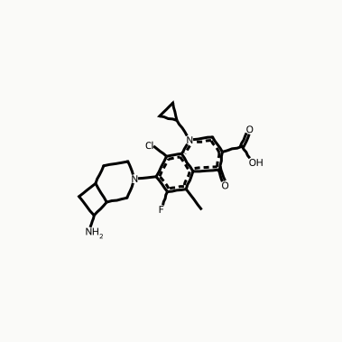 Cc1c(F)c(N2CCC3CC(N)C3C2)c(Cl)c2c1c(=O)c(C(=O)O)cn2C1CC1